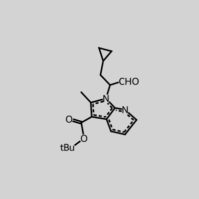 Cc1c(C(=O)OC(C)(C)C)c2cccnc2n1C(C=O)CC1CC1